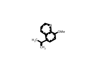 C=C(C)c1ccc(OC)c2ncccc12